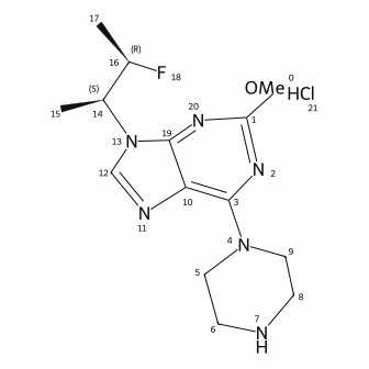 COc1nc(N2CCNCC2)c2ncn([C@@H](C)[C@@H](C)F)c2n1.Cl